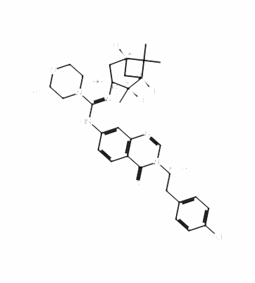 C[C@@H]1[C@@H](N=C(Nc2ccc3c(=O)n([C@H](C)Cc4ccc(Cl)cc4)cnc3c2)N2CCN[C@@H](C)C2)C[C@H]2C[C@@H]1C2(C)C